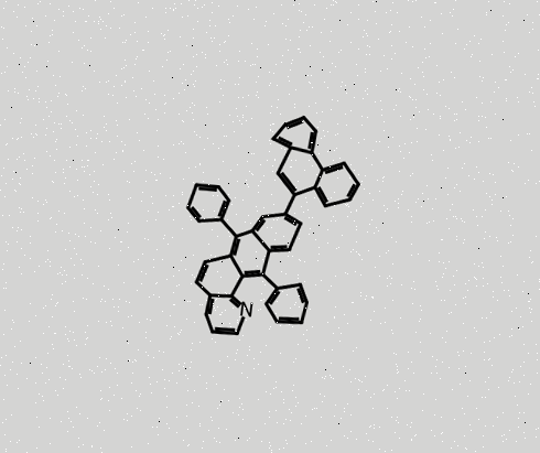 c1ccc(-c2c3cc(-c4cc5ccccc5c5ccccc45)ccc3c(-c3ccccc3)c3c2ccc2cccnc23)cc1